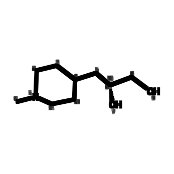 CN1CCC(C[C@@H](O)CO)CC1